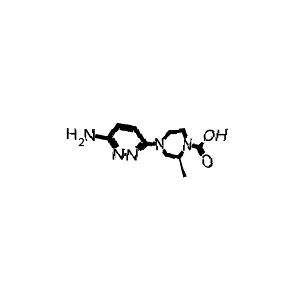 C[C@H]1CN(c2ccc(N)nn2)CCN1C(=O)O